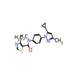 Cc1cc(C2CC2)n(-c2ccc(N(C)C(=O)c3scnc3C)cc2)n1